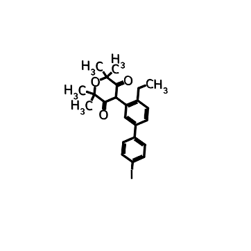 CCc1ccc(-c2ccc(I)cc2)cc1C1C(=O)C(C)(C)OC(C)(C)C1=O